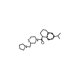 CC(C)c1ccc2c(c1)CCCC2C(=O)N1CCSC(CN2CCCC2)C1